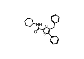 O=C(NC1CCCCC1)c1nc(Cc2ccccc2)c(-c2ccccc2)s1